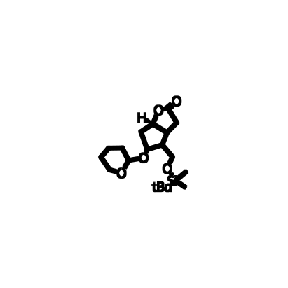 CC(C)(C)[Si](C)(C)OCC1C(OC2CCCCO2)C[C@@H]2OC(=O)CC12